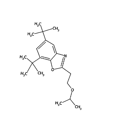 CC(C)OCCc1nc2cc(C(C)(C)C)cc(C(C)(C)C)c2o1